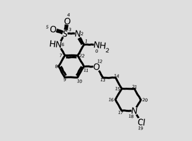 NC1=NS(=O)(=O)Nc2cccc(OCCC3CCN(Cl)CC3)c21